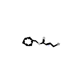 O=C(/C=C/CBr)OCc1ccccc1